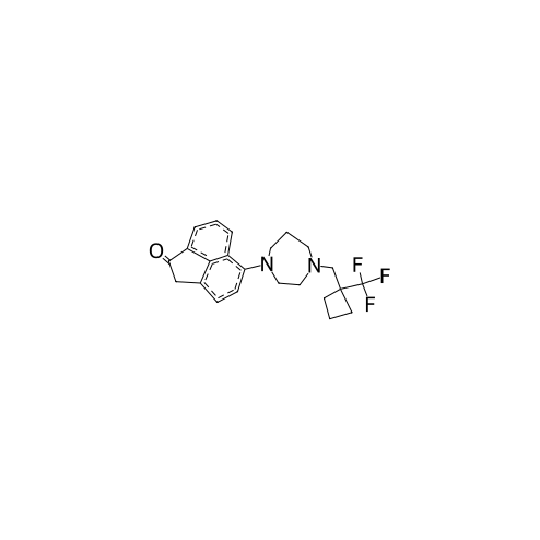 O=C1Cc2ccc(N3CCCN(CC4(C(F)(F)F)CCC4)CC3)c3cccc1c23